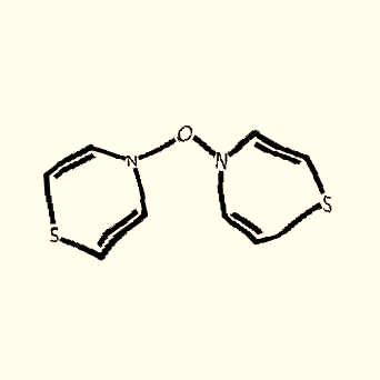 C1=CN(ON2C=CSC=C2)C=CS1